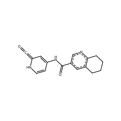 O=C=C1C=C(NC(=O)c2cnc3c(c2)CCCC3)C=CN1